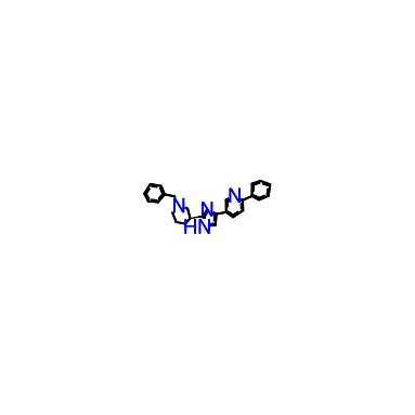 c1ccc(CN2CCC[C@H](c3nc(-c4ccc(-c5ccccc5)nc4)c[nH]3)C2)cc1